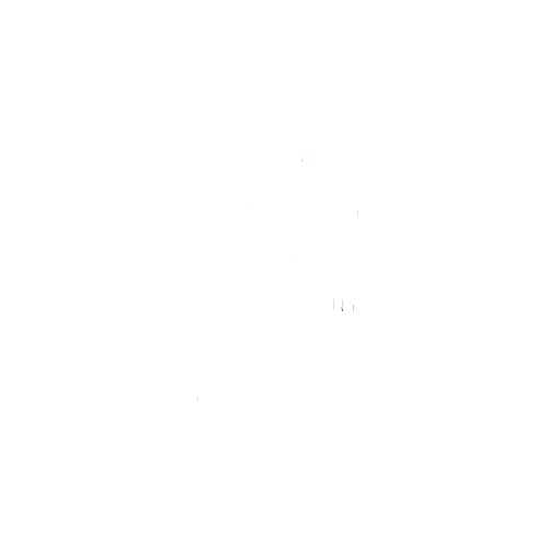 O=S(=O)([S-])OCCCO.[Na+]